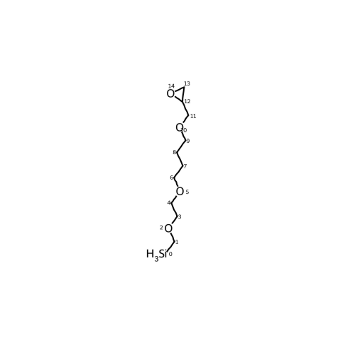 [SiH3]COCCOCCCCOCC1CO1